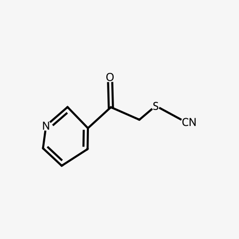 N#CSCC(=O)c1cccnc1